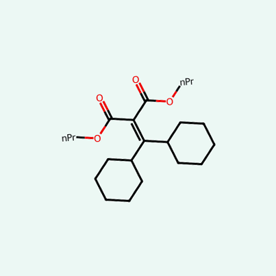 CCCOC(=O)C(C(=O)OCCC)=C(C1CCCCC1)C1CCCCC1